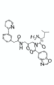 CC(C)C[C@H](N)C(=O)N(CC(=O)CNC(=O)Cc1cccc(-c2ccccn2)c1)C(=O)c1ccc2ocnc2c1